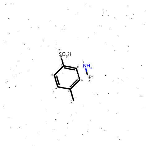 CC(C)N.Cc1ccc(S(=O)(=O)O)cc1